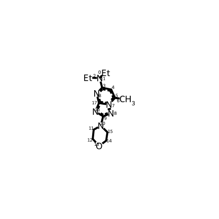 CCN(CC)c1cc(C)n2nc(N3CCOCC3)nc2n1